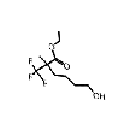 CCOC(=O)C(C)(CCCCO)C(F)(F)F